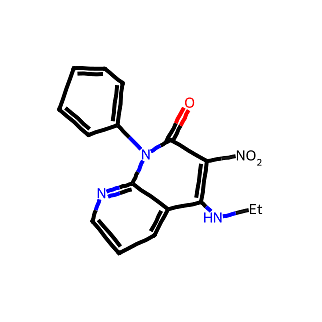 CCNc1c([N+](=O)[O-])c(=O)n(-c2ccccc2)c2ncccc12